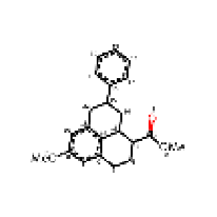 COC(=O)C1CCc2cc(OC)cc3c2C1CC(c1ccccc1)C3